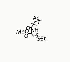 CCSSCC(NC(=O)C(C)(C)CC(C)(C)C(C)=O)C(=O)OC